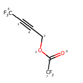 O=C(OCC#CC(F)(F)F)C(F)(F)F